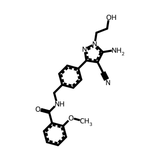 COc1ccccc1C(=O)NCc1ccc(-c2nn(CCO)c(N)c2C#N)cc1